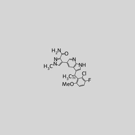 COc1ccc(F)c(Cl)c1[C@@H](C)c1c[nH]c2ncc(-c3cn(C)nc3C(N)=O)cc12